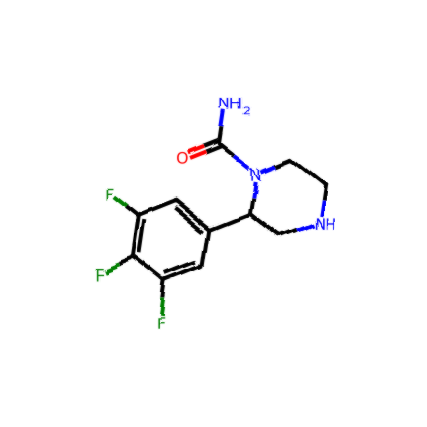 NC(=O)N1CCNCC1c1cc(F)c(F)c(F)c1